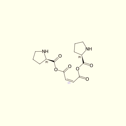 O=C(/C=C\C(=O)OC(=O)[C@H]1CCCN1)OC(=O)[C@H]1CCCN1